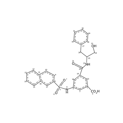 O=C(O)c1cc(NS(=O)(=O)c2ccc3ccccc3c2)cc(C(=O)NC(CO)Cc2ccccc2)c1